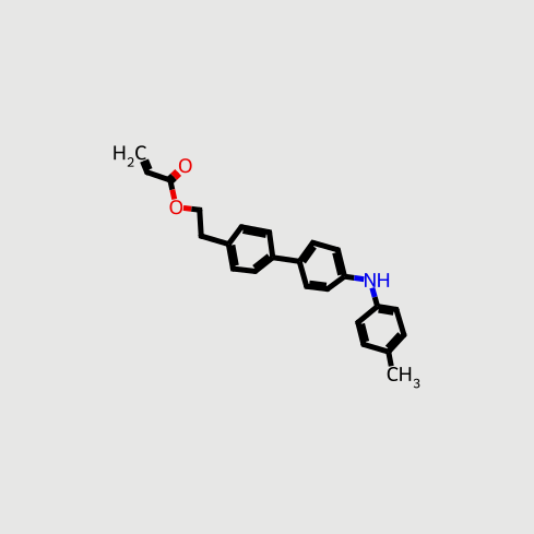 C=CC(=O)OCCc1ccc(-c2ccc(Nc3ccc(C)cc3)cc2)cc1